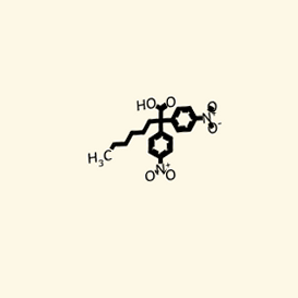 CCCCCCC(C(=O)O)(c1ccc([N+](=O)[O-])cc1)c1ccc([N+](=O)[O-])cc1